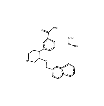 CC(C)(C)OC=O.COC(=O)c1cccc(C2CCNCC2OCc2ccc3ccccc3c2)c1